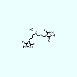 CN(CCCn1c(=O)[nH][nH]c1=O)CCCn1c(=O)[nH][nH]c1=O.Cl